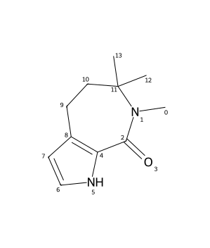 CN1C(=O)c2[nH]ccc2CCC1(C)C